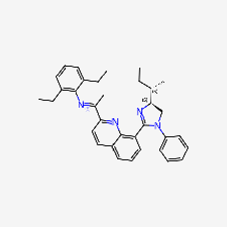 CCc1cccc(CC)c1/N=C(\C)c1ccc2cccc(C3=N[C@@H]([C@@H](C)CC)CN3c3ccccc3)c2n1